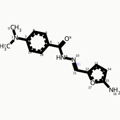 CN(C)c1ccc(C(=O)N/N=C/c2ccc(N)o2)cc1